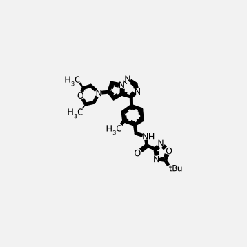 Cc1cc(-c2ncnn3cc(N4C[C@H](C)O[C@@H](C)C4)cc23)ccc1CNC(=O)c1noc(C(C)(C)C)n1